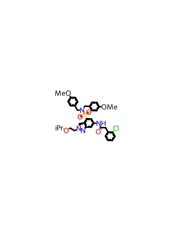 COc1ccc(CN(Cc2ccc(OC)cc2)S(=O)(=O)c2cc(NC(=O)Cc3ccccc3Cl)cc3nn(CCOC(C)C)cc23)cc1